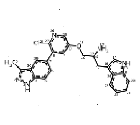 Cc1n[nH]c2ccc(-c3cc(OC[C@@H](N)Cc4c[nH]c5ccccc45)cnc3Cl)cc12